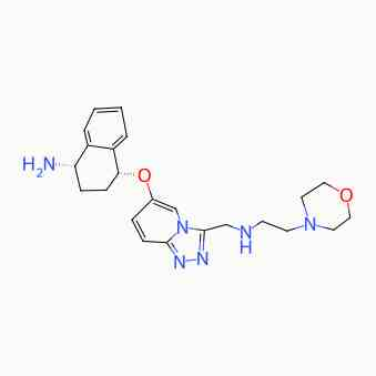 N[C@H]1CC[C@@H](Oc2ccc3nnc(CNCCN4CCOCC4)n3c2)c2ccccc21